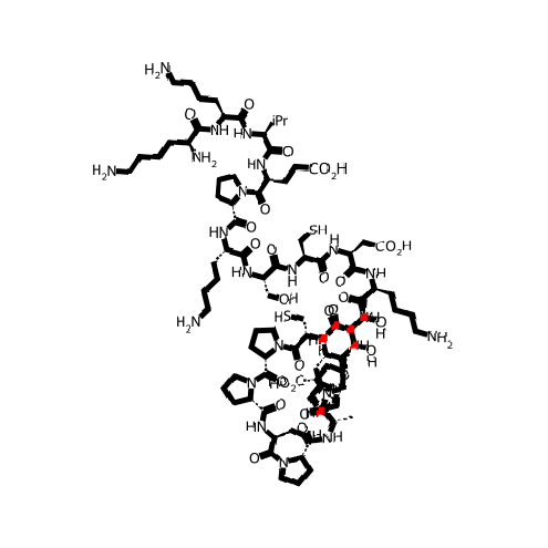 CC(C)[C@H](NC(=O)[C@H](CCCCN)NC(=O)[C@@H](N)CCCCN)C(=O)N[C@@H](CCC(=O)O)C(=O)N1CCC[C@H]1C(=O)N[C@@H](CCCCN)C(=O)N[C@@H](CO)C(=O)N[C@@H](CS)C(=O)N[C@@H](CC(=O)O)C(=O)N[C@@H](CCCCN)C(=O)N[C@H](C(=O)N[C@@H](Cc1c[nH]cn1)C(=O)N[C@H](C(=O)N[C@@H](CS)C(=O)N1CCC[C@H]1C(=O)N1CCC[C@H]1C(=O)N[C@@H](CS)C(=O)N1CCC[C@H]1C(=O)N[C@@H](C)C(=O)N1CCC[C@H]1C(=O)O)[C@@H](C)O)[C@@H](C)O